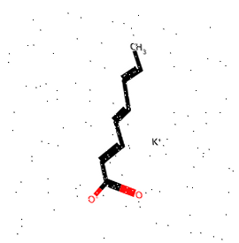 C/C=C/C=C/C=C/C(=O)[O-].[K+]